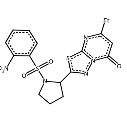 CCc1cc(=O)n2nc(C3CCCN3S(=O)(=O)c3ccccc3[N+](=O)[O-])sc2n1